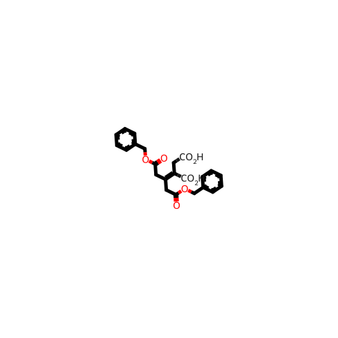 O=C(O)CC(C(=O)O)=C(CC(=O)OCc1ccccc1)CC(=O)OCc1ccccc1